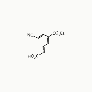 CCOC(=O)C(C=CC#N)=CC=CC(=O)O